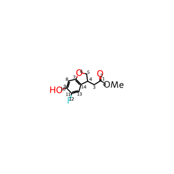 COC(=O)CC1COc2cc(O)c(F)cc21